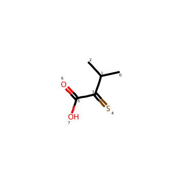 CC(C)C(=S)C(=O)O